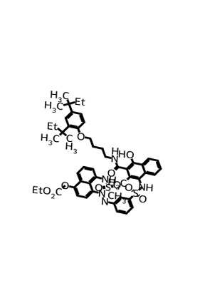 CCOC(=O)Oc1ccc(N=Nc2cccc(S(=O)(=O)Nc3c(C)c(C(=O)NCCCCOc4ccc(C(C)(C)CC)cc4C(C)(C)CC)c(O)c4ccccc34)c2)c2c(NS(C)(=O)=O)cccc12